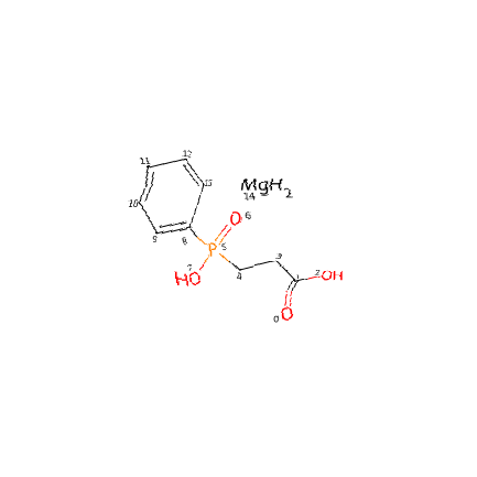 O=C(O)CCP(=O)(O)c1ccccc1.[MgH2]